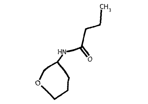 CCCC(=O)NC1CCCOC1